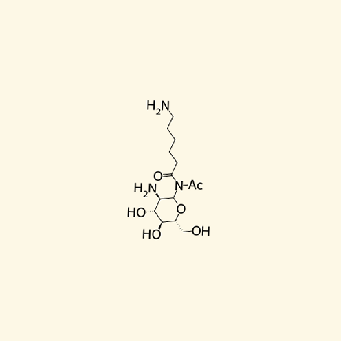 CC(=O)N(C(=O)CCCCCN)C1O[C@H](CO)[C@@H](O)[C@H](O)[C@H]1N